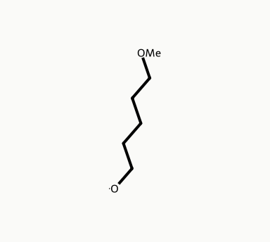 [CH2]OCCCCC[O]